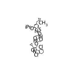 CC(C)Oc1cc(CC2(C)CC2)cc2sc(OC3CO[C@@H]4C(OCc5c(C6=C(Cl)CCC=C6Cl)noc5C5CC5)CO[C@H]34)nc12